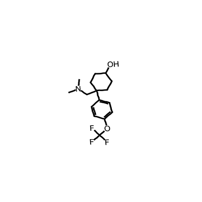 CN(C)CC1(c2ccc(OC(F)(F)F)cc2)CCC(O)CC1